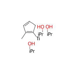 CC(C)O.CC(C)O.CC(C)O.CC1=[C]([Ti])CC=C1